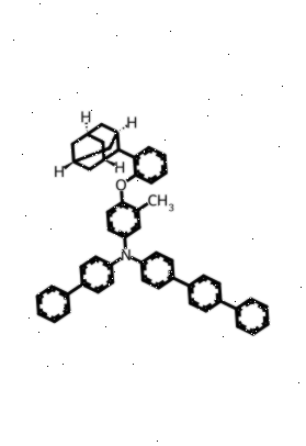 Cc1cc(N(c2ccc(-c3ccccc3)cc2)c2ccc(-c3ccc(-c4ccccc4)cc3)cc2)ccc1Oc1ccccc1C1[C@H]2C[C@H]3C[C@H](C[C@H]1C3)C2